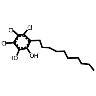 CCCCCCCCCCc1c(O)c(O)c(Cl)c(Cl)c1Cl